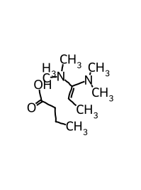 CC=C(N(C)C)N(C)C.CCCC(=O)O